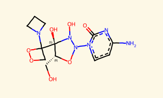 Nc1ccn(N2O[C@H](CO)[C@](O)(C3(N4CCC4)COO3)N2O)c(=O)n1